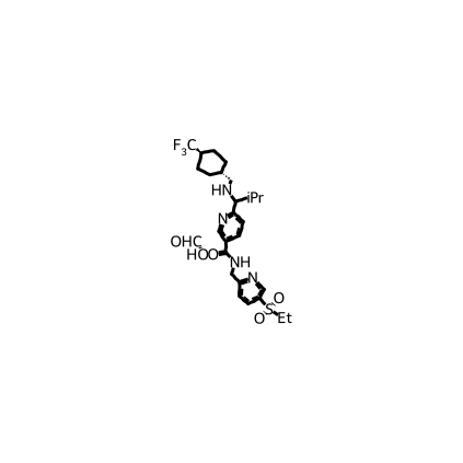 CCS(=O)(=O)c1ccc(CNC(=O)c2ccc(C(NC[C@H]3CC[C@H](C(F)(F)F)CC3)C(C)C)nc2)nc1.O=CO